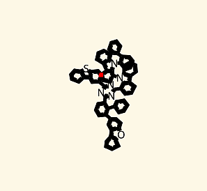 c1ccc(-c2ccccc2)c(-n2c3ccccc3c3cccc(-n4c5c(c6cccc(-c7nc(-c8ccc9sc%10ccccc%10c9c8)nc(-c8cccc(-c9ccc%10oc%11ccccc%11c%10c9)c8-c8ccccc8)n7)c64)C=CCC5)c32)c#1